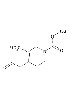 C=CCC1=C(C(=O)OCC)CN(C(=O)OC(C)(C)C)CC1